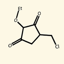 CCOC1C(=O)CC(CCl)C1=O